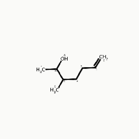 C=CCCC(C)C(C)O